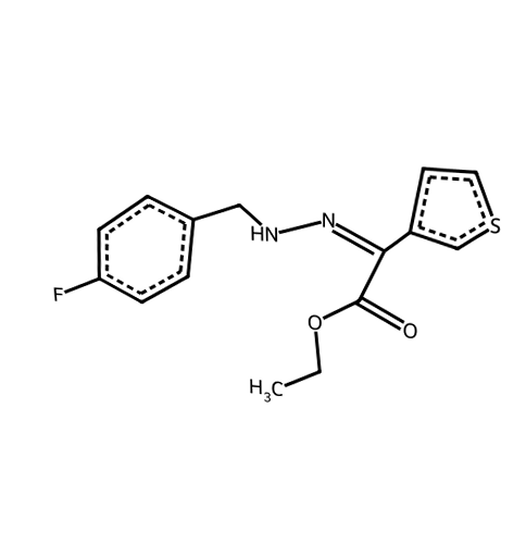 CCOC(=O)/C(=N\NCc1ccc(F)cc1)c1ccsc1